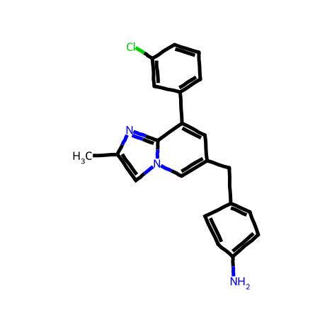 Cc1cn2cc(Cc3ccc(N)cc3)cc(-c3cccc(Cl)c3)c2n1